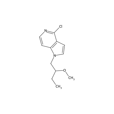 CCC(Cn1ccc2c(Cl)nccc21)OC